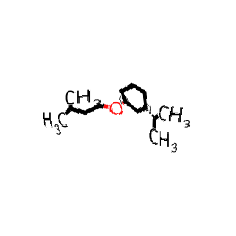 CC(C)CCO[C@H]1CCC[C@H](C(C)C)C1